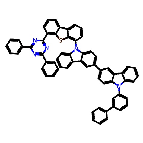 c1ccc(-c2cccc(-n3c4ccccc4c4cc(-c5ccc6c(c5)c5ccccc5n6-c5cccc6c5sc5c(-c7nc(-c8ccccc8)nc(-c8ccccc8)n7)cccc56)ccc43)c2)cc1